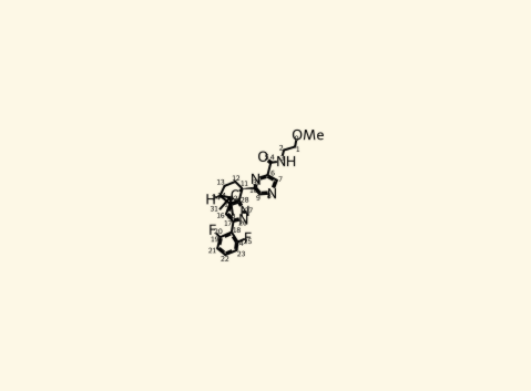 COCCNC(=O)c1cncc([C@@]23CC[C@@H](c4cc(-c5c(F)cccc5F)nnc42)C(C)(C)C3)n1